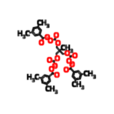 Cc1cc(C)cc(C(=O)OOC(=O)OCC(C)(COC(=O)OOC(=O)c2cc(C)cc(C)c2)COC(=O)OOC(=O)c2cc(C)cc(C)c2)c1